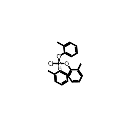 Cc1ccccc1O[PH](Cl)(Oc1ccccc1C)c1ccccc1C